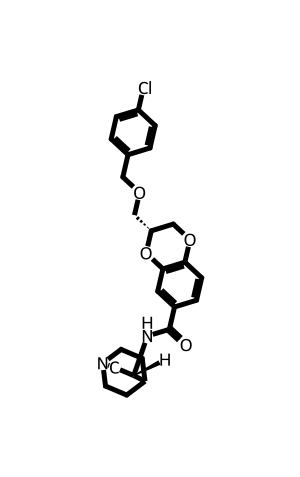 O=C(N[C@H]1CN2CCC1CC2)c1ccc2c(c1)O[C@H](COCc1ccc(Cl)cc1)CO2